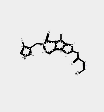 Cn1c2nc(CC(=N)/C=C\N)sc2c2cnn(Cc3n[nH]cc3F)c(=O)c21